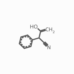 C=C(O)C(C#N)c1ccccc1